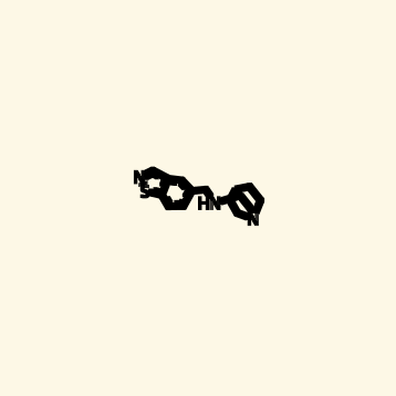 c1cc2sncc2cc1CNC1CN2CCC1CC2